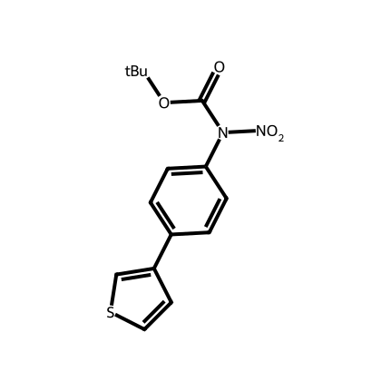 CC(C)(C)OC(=O)N(c1ccc(-c2ccsc2)cc1)[N+](=O)[O-]